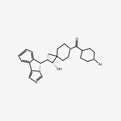 CC(=O)N1CCC(C(=O)N2CCC3(CC2)C[C@@H]([C@H]2c4ccccc4-c4cncn42)[C@H]3O)CC1